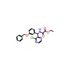 CCOC(=O)C(=O)NC(c1cccc(OCc2ccccc2)c1)c1nccnc1Cl